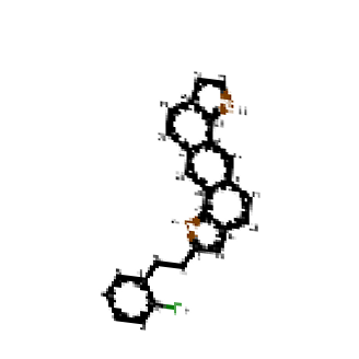 Fc1ccccc1CCc1cc2ccc3cc4c(ccc5ccsc54)cc3c2s1